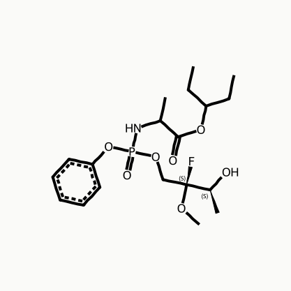 CCC(CC)OC(=O)C(C)NP(=O)(OC[C@@](F)(OC)[C@H](C)O)Oc1ccccc1